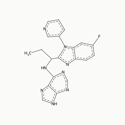 CCC(Nc1ncnc2[nH]cnc12)c1nc2ccc(F)cc2n1-c1cccnc1